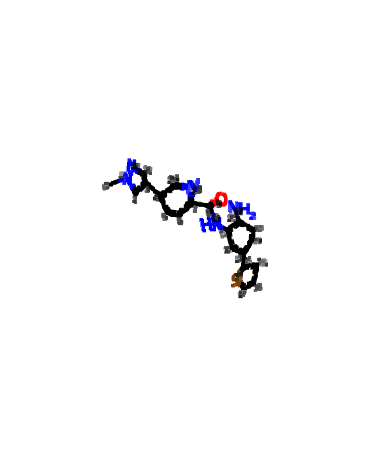 Cn1cc(-c2ccc(C(=O)Nc3cc(-c4cccs4)ccc3N)nc2)cn1